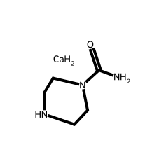 NC(=O)N1CCNCC1.[CaH2]